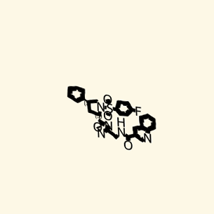 O=C(NCc1noc([C@@H]2C[C@@H](c3ccccc3)CN2S(=O)(=O)c2ccc(F)cc2)n1)c1cnc2ccccc2c1